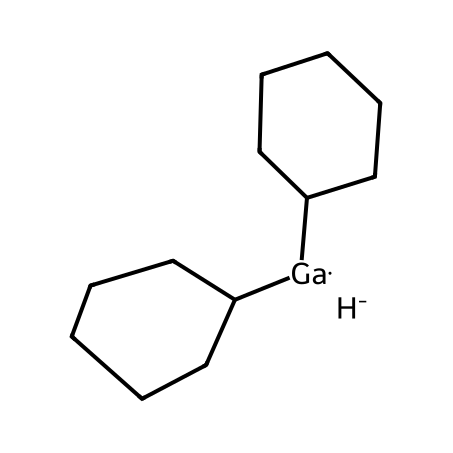 C1CC[CH]([Ga][CH]2CCCCC2)CC1.[H-]